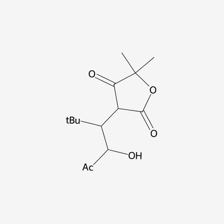 CC(=O)C(O)C(C1C(=O)OC(C)(C)C1=O)C(C)(C)C